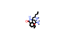 C=CCC(CC1(CC(CC=C)N(C)C)NC(=O)c2ccccc21)N(C)C